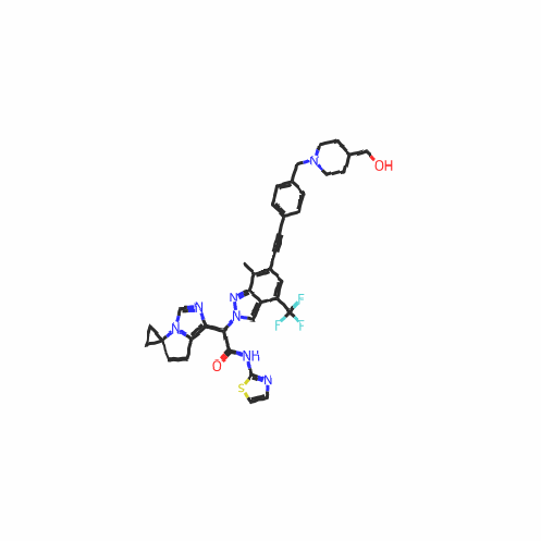 Cc1c(C#Cc2ccc(CN3CCC(CO)CC3)cc2)cc(C(F)(F)F)c2cn(C(C(=O)Nc3nccs3)c3ncn4c3CCC43CC3)nc12